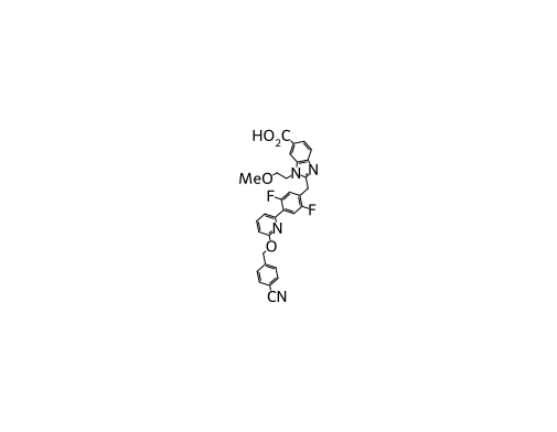 COCCn1c(Cc2cc(F)c(-c3cccc(OCc4ccc(C#N)cc4)n3)cc2F)nc2ccc(C(=O)O)cc21